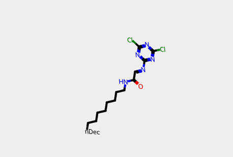 CCCCCCCCCCCCCCCCCCNC(=O)C=Nc1nc(Cl)nc(Cl)n1